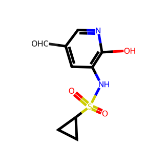 O=Cc1cnc(O)c(NS(=O)(=O)C2CC2)c1